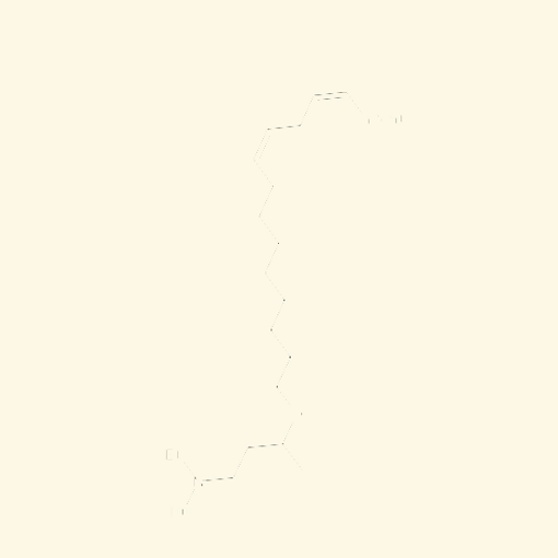 [CH2]C(CCN(CC)CC)OCCCCCCCC/C=C\C/C=C\CCCCC